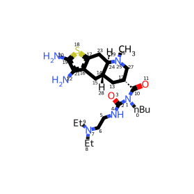 CCCCN(C(=O)NCCN(CC)CC)C(=O)[C@@H]1C[C@@H]2Cc3c(sc(N)c3N)C[C@H]2N(C)C1